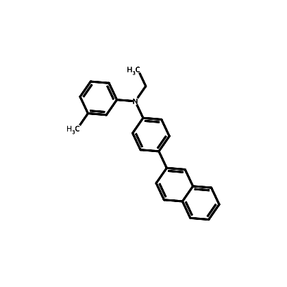 CCN(c1ccc(-c2ccc3ccccc3c2)cc1)c1cccc(C)c1